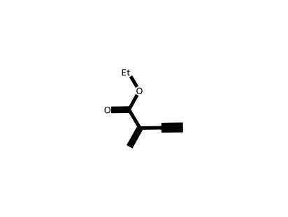 C#CC(=C)C(=O)OCC